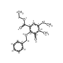 CCOC(=O)c1nc(SC)n(C)c(=O)c1OCc1ccccc1